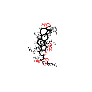 CC(=O)OC(C1C[C@@H](C)[C@H]2C(O1)[C@H](O)[C@@]1(C)C3CC[C@@H]4C(C)(CCC(O)C4(C)C)C3=CCC21C)C(C)(C)O